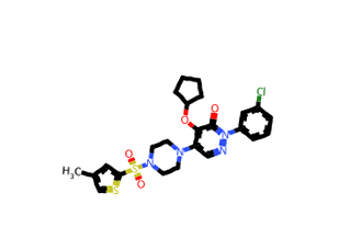 Cc1csc(S(=O)(=O)N2CCN(c3cnn(-c4cccc(Cl)c4)c(=O)c3OC3CCCC3)CC2)c1